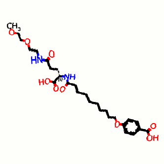 COCCOCCNC(=O)CC[C@H](NC(=O)CCCCCCCCCOc1ccc(C(=O)O)cc1)C(=O)O